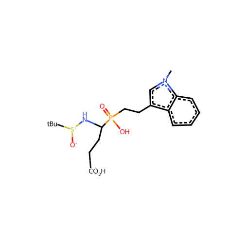 Cn1cc(CCP(=O)(O)C(CCC(=O)O)N[S+]([O-])C(C)(C)C)c2ccccc21